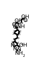 Nc1nc(O)c2cc(C=Cc3ccc(C(=O)N[C@@H](CCC(=O)O)C(=O)O)cc3)cnc2n1